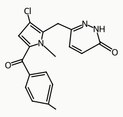 Cc1ccc(C(=O)c2cc(Cl)c(Cc3ccc(=O)[nH]n3)n2C)cc1